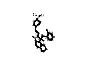 CCN(CC)c1ccc(/C=C/C2=[N+](C)c3ccc4ccccc4c3C2(C)Cc2ccccc2C)cc1